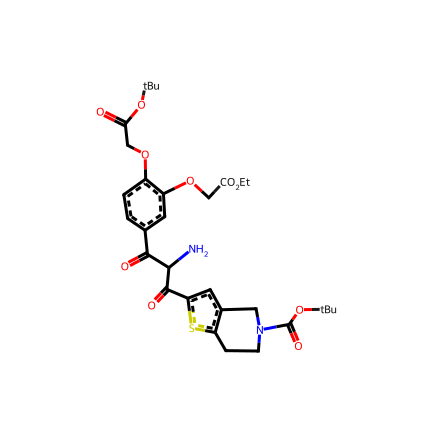 CCOC(=O)COc1cc(C(=O)C(N)C(=O)c2cc3c(s2)CCN(C(=O)OC(C)(C)C)C3)ccc1OCC(=O)OC(C)(C)C